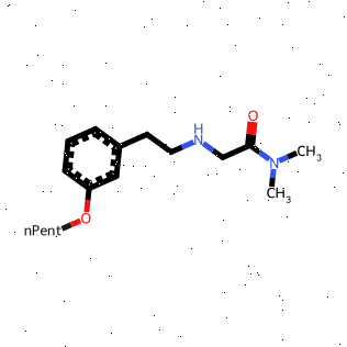 CCCCCOc1cccc(CCNCC(=O)N(C)C)c1